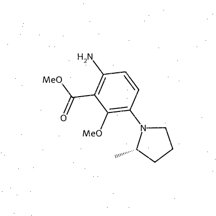 COC(=O)c1c(N)ccc(N2CCC[C@@H]2C)c1OC